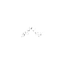 [Al+3].[Al+3].[Mg+2].[Mg+2].[O-2].[O-2].[O-2].[O-2].[O-2]